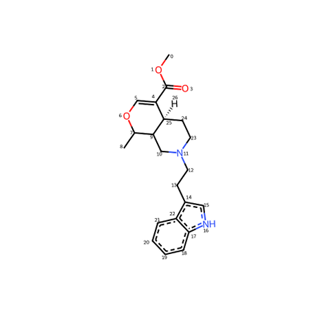 COC(=O)C1=COC(C)C2CN(CCc3c[nH]c4ccccc34)CC[C@H]12